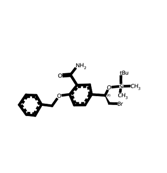 CC(C)(C)[Si](C)(C)O[C@@H](CBr)c1ccc(OCc2ccccc2)c(C(N)=O)c1